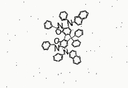 c1ccc(-c2nc3c(N(c4ccccc4)c4ccc5ccccc5c4)cc4c(c3o2)-c2c(cc(N(c3ccccc3)c3ccc5ccccc5c3)c3nc(-c5ccccc5)oc23)C4(c2ccccc2)c2ccccc2)cc1